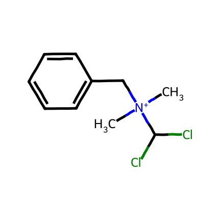 C[N+](C)(Cc1ccccc1)C(Cl)Cl